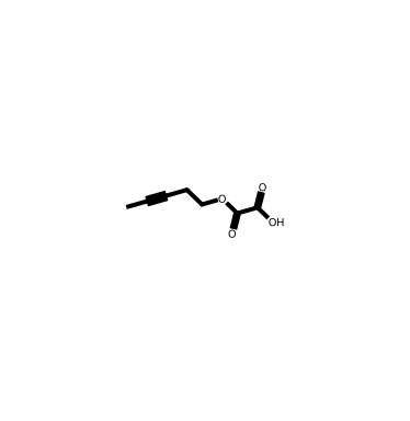 CC#CCCOC(=O)C(=O)O